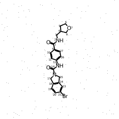 O=C(NCC1CCOC1)c1ccc(NC(=O)N2Cc3ccc(Br)cc3C2)cc1